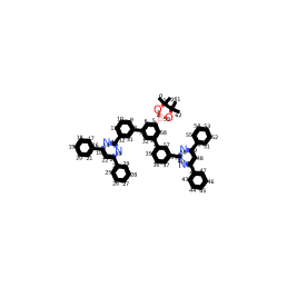 CC1(C)OB(c2cc(-c3cccc(-c4nc(-c5ccccc5)cc(-c5ccccc5)n4)c3)cc(-c3cccc(-c4nc(-c5ccccc5)cc(-c5ccccc5)n4)c3)c2)OC1(C)C